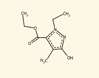 CCOC(=O)c1c(C)c(O)nn1CC